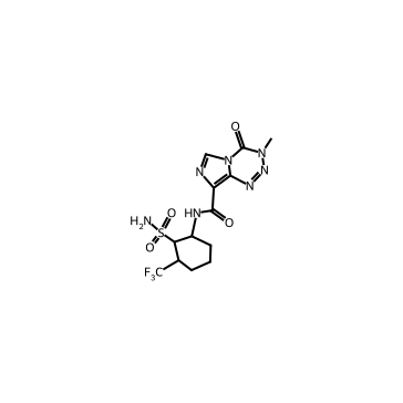 Cn1nnc2c(C(=O)NC3CCCC(C(F)(F)F)C3S(N)(=O)=O)ncn2c1=O